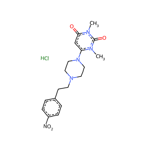 Cl.Cn1c(N2CCN(CCc3ccc([N+](=O)[O-])cc3)CC2)cc(=O)n(C)c1=O